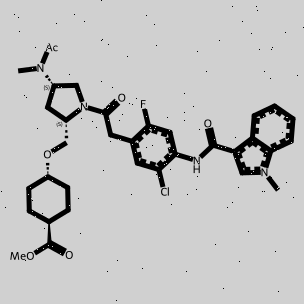 COC(=O)[C@H]1CC[C@H](OC[C@@H]2C[C@H](N(C)C(C)=O)CN2C(=O)Cc2cc(Cl)c(NC(=O)c3cn(C)c4ccccc34)cc2F)CC1